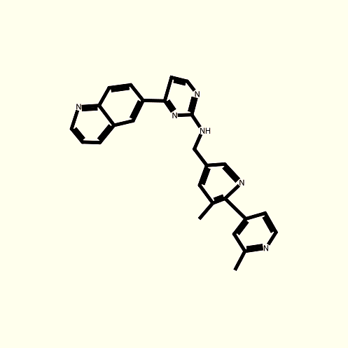 Cc1cc(-c2ncc(CNc3nccc(-c4ccc5ncccc5c4)n3)cc2C)ccn1